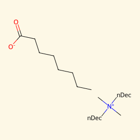 CCCCCCCC(=O)[O-].CCCCCCCCCC[N+](C)(C)CCCCCCCCCC